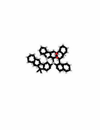 CC1(C)c2ccc(N(c3ccc4ccccc4c3-c3ccc4ccccc4c3)c3cccc4c3sc3ccccc34)cc2-c2cc3ccccc3cc21